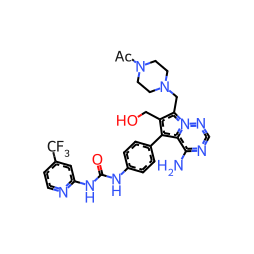 CC(=O)N1CCN(Cc2c(CO)c(-c3ccc(NC(=O)Nc4cc(C(F)(F)F)ccn4)cc3)c3c(N)ncnn23)CC1